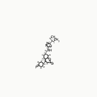 CCC(CC)c1nnc(NCc2ccc3c(-c4ccc(F)cc4)cc(=O)oc3c2)o1